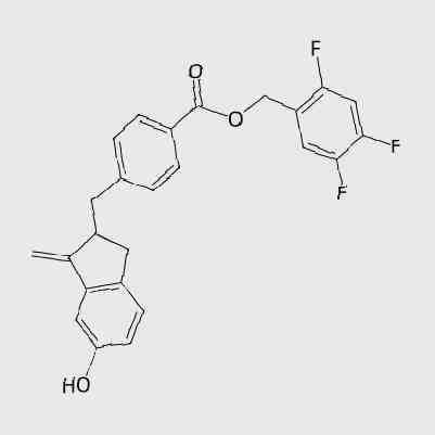 C=C1c2cc(O)ccc2CC1Cc1ccc(C(=O)OCc2cc(F)c(F)cc2F)cc1